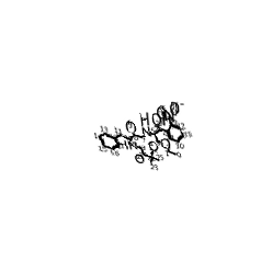 CCOC(=O)C(NCC(=O)C(Cc1ccccc1)NCC(=O)C(C)(C)C)C(O)c1ccccc1[N+](=O)[O-]